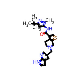 Cn1nc(C(C)(C)C)cc1NC(=O)c1csc2c1CCN(Cc1cnc3[nH]ccc3c1)C2